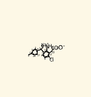 Cc1ccc(C(=S)c2ccc(Cl)c(CC(=O)[O-])c2N)cc1.[Na+]